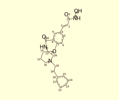 O=C(/C=C/c1ccc2c(c1)C(=O)NC1(CCCN(CCc3ccccc3)C1)O2)NO